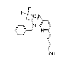 O=[N+]([O-])c1ccc(C=CCCO)nc1N(Cc1ccccc1)C1CC(F)(F)C1